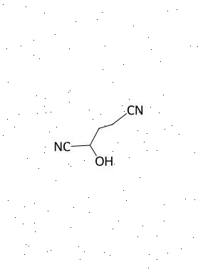 N#CCCC(O)C#N